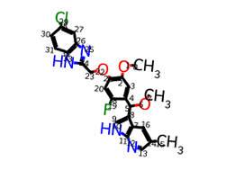 COc1cc(C(OC)c2c[nH]c3ncc(C)cc23)c(F)cc1OCc1nc2cc(Cl)ccc2[nH]1